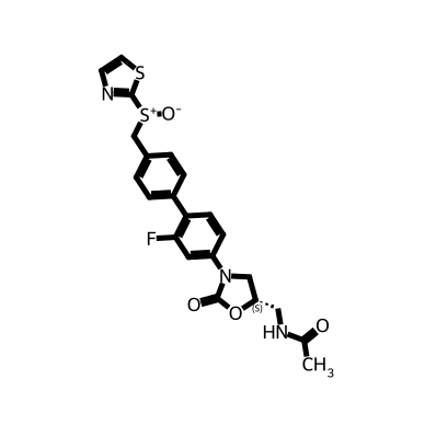 CC(=O)NC[C@H]1CN(c2ccc(-c3ccc(C[S+]([O-])c4nccs4)cc3)c(F)c2)C(=O)O1